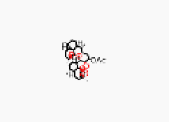 CC(=O)O[C@@H](C[C@H]1O[C@@H]2C[C@]3(C)CC[C@H]4[C@H](C)CC[C@@H]([C@H]1C)[C@@]24OO3)C1O[C@@H]2C[C@]3(C)CC[C@H]4[C@H](C)CC[C@@H]([C@H]1C)[C@@]24OO3